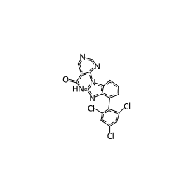 O=c1[nH]c2nc3c(-c4c(Cl)cc(Cl)cc4Cl)cccc3n2c2ncncc12